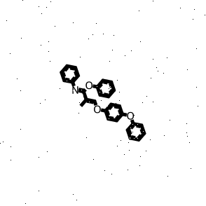 CC(=C\Oc1ccc(Oc2ccccc2)cc1)/C(=N/c1ccccc1)Oc1ccccc1